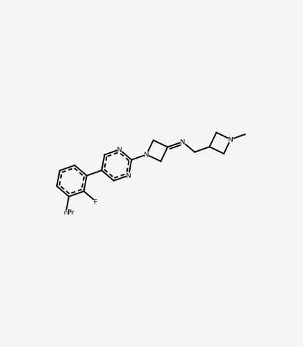 CCCc1cccc(-c2cnc(N3CC(=NCC4CN(C)C4)C3)nc2)c1F